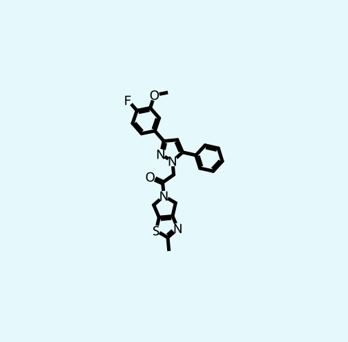 COc1cc(-c2cc(-c3ccccc3)n(CC(=O)N3Cc4nc(C)sc4C3)n2)ccc1F